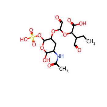 CCC(C=O)C(OC(C=O)OC1CC(NC(C)=O)C(O)OC1OS(=O)(=O)O)C(=O)O